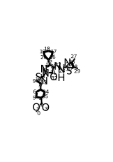 COC(=O)c1ccc(-c2csc(N3N=C(c4ccccc4)/C(=N/Nc4nc(C)c(C)s4)C3=O)n2)cc1